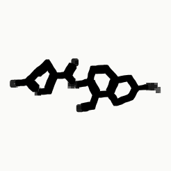 N[C@H]1CCc2c(ccc(NC(=O)c3ccc(Cl)nc3)c2C=O)C1